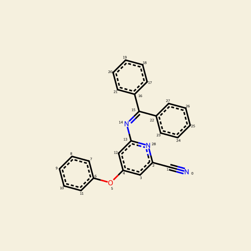 N#Cc1cc(Oc2ccccc2)cc(N=C(c2ccccc2)c2ccccc2)n1